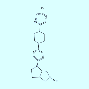 CN1C=C2C(CCN2c2ccc(N3CCN(c4ccc(C#N)cn4)CC3)cc2)C1